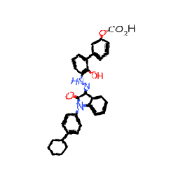 O=C(O)Oc1cccc(-c2cccc(NN=C3C(=O)N(c4ccc(C5CCCCC5)cc4)c4ccccc43)c2O)c1